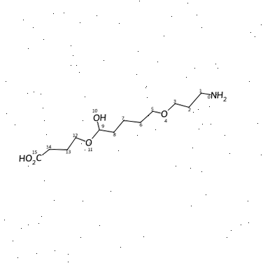 NCCCOCCCCC(O)OCCCC(=O)O